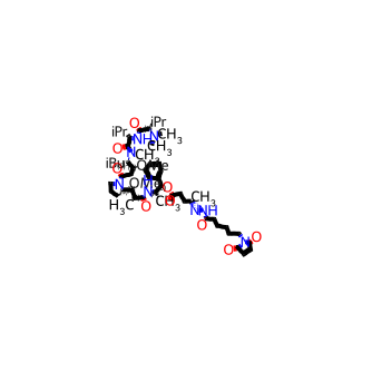 CC[C@H](C)[C@@H]([C@@H](CC(=O)N1CCC[C@H]1[C@H](OC)[C@@H](C)C(=O)N[C@H](C)[C@@H](OC(=O)CC/C(C)=N/NC(=O)CCCCCN1C(=O)C=CC1=O)c1ccccc1)OC)N(C)C(=O)C(NC(=O)[C@H](C(C)C)N(C)C)C(C)C